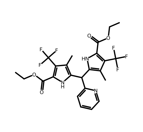 CCOC(=O)c1[nH]c(C(c2ccccn2)c2[nH]c(C(=O)OCC)c(C(F)(F)F)c2C)c(C)c1C(F)(F)F